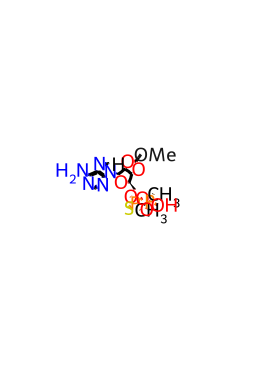 COC1OC2[C@@H](COP(C)(=S)OP(C)(=O)O)O[C@@H](n3cnc4c(N)ncnc43)[C@H]2O1